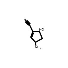 Cl.N#CC1=CC(N)CC1